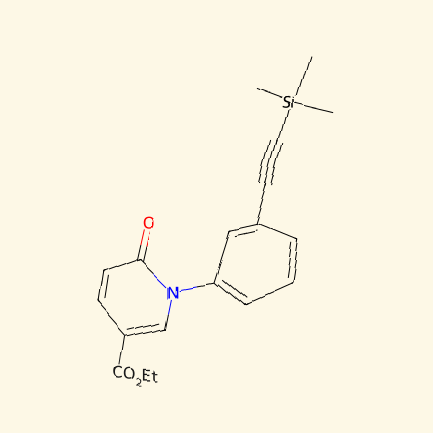 CCOC(=O)c1ccc(=O)n(-c2cccc(C#C[Si](C)(C)C)c2)c1